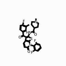 Cc1cc(C(=O)c2c(NC(=O)C3CCN(C)CC3)sc3c2ccc(=O)n3-c2c(F)cccc2F)ccc1F